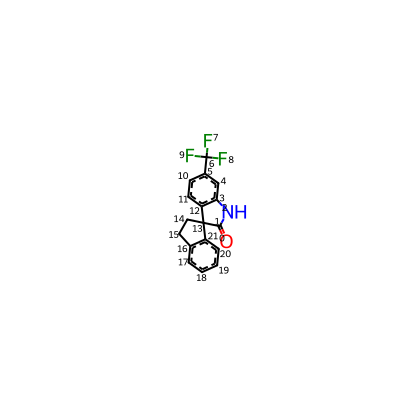 O=C1Nc2cc(C(F)(F)F)ccc2C12CCc1ccccc12